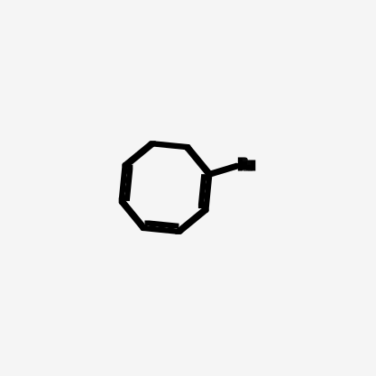 [Ru][C]1=CC=CC=CCC1